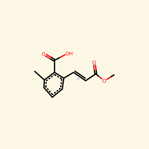 COC(=O)/C=C/c1cccc(C)c1C(=O)O